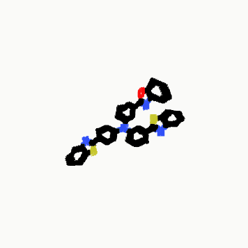 c1cc(-c2nc3ccccc3o2)cc(N(c2ccc(-c3nc4ccccc4s3)cc2)c2cccc(-c3nc4ccccc4s3)c2)c1